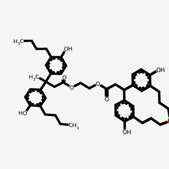 CCCCc1cc(C(CC(=O)OCCOC(=O)CC(C)(c2ccc(O)c(CCCC)c2)c2ccc(O)c(CCCC)c2)c2ccc(O)c(CCCC)c2)ccc1O